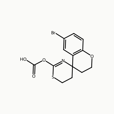 O=C(O)OC1=NC2(CCOc3ccc(Br)cc32)CCS1